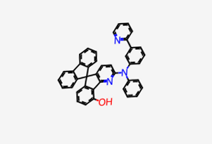 Oc1cccc2c1-c1nc(N(c3ccccc3)c3cccc(-c4ccccn4)c3)ccc1C21c2ccccc2-c2ccccc21